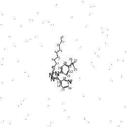 CCCCCCCCSc1nnc(-c2cccnc2)n1-c1ccc(C(C)(C)C)cc1